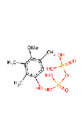 COc1c(C)cc(O)c(C)c1C.O=P(O)(O)OP(=O)(O)O